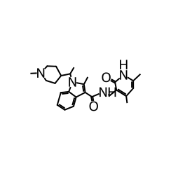 Cc1cc(C)c(CNC(=O)c2c(C)n(C(C)C3CCN(C)CC3)c3ccccc23)c(=O)[nH]1